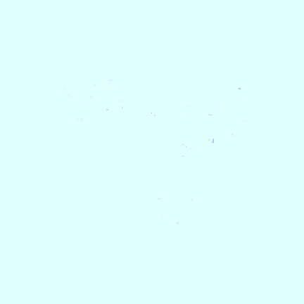 CC(CCNS(=O)O[C@@H]1CCCN(C(=N)N)C1)c1c(NS(=O)(=O)c2ccc3ccccc3c2)[nH]c2ccc(Br)cc12